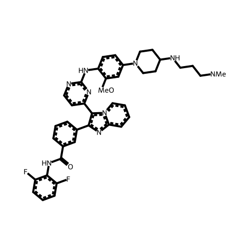 CNCCCNC1CCN(c2ccc(Nc3nccc(-c4c(-c5cccc(C(=O)Nc6c(F)cccc6F)c5)nc5ccccn45)n3)c(OC)c2)CC1